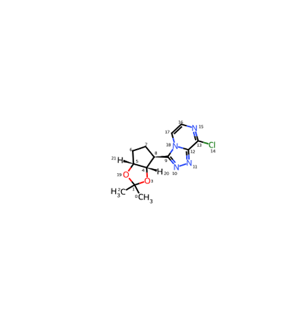 CC1(C)O[C@@H]2[C@@H](CC[C@H]2c2nnc3c(Cl)nccn23)O1